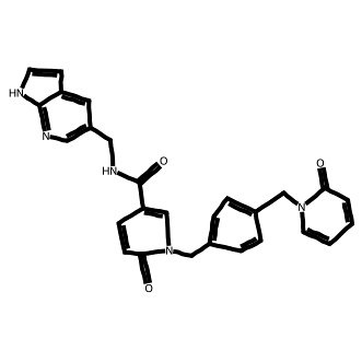 O=C(NCc1cnc2[nH]ccc2c1)c1ccc(=O)n(Cc2ccc(Cn3ccccc3=O)cc2)c1